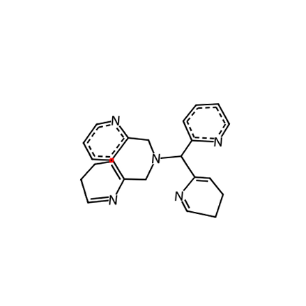 C1=NC(CN(Cc2ccccn2)C(C2=CCCC=N2)c2ccccn2)=CCC1